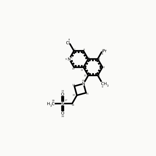 Cc1cc(C(C)C)c2cc(Cl)ncc2c1N1CC(CS(C)(=O)=O)C1